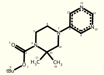 CC(C)(C)OC(=O)N1CCN(c2cncnc2)CC1(C)C